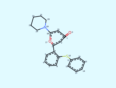 O=c1cc(-c2ccccc2Sc2ccccc2)oc(N2CCCCC2)c1